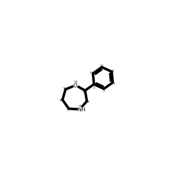 [c]1ccc(C2CNCCCO2)cc1